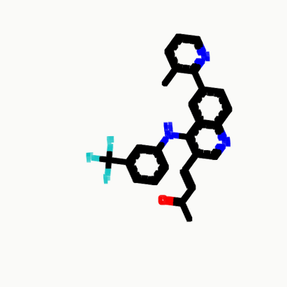 CC(=O)/C=C/c1cnc2ccc(-c3ncccc3C)cc2c1Nc1cccc(C(F)(F)F)c1